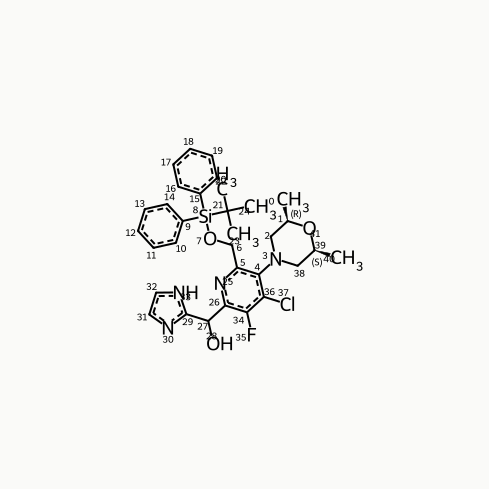 C[C@@H]1CN(c2c(CO[Si](c3ccccc3)(c3ccccc3)C(C)(C)C)nc(C(O)c3ncc[nH]3)c(F)c2Cl)C[C@H](C)O1